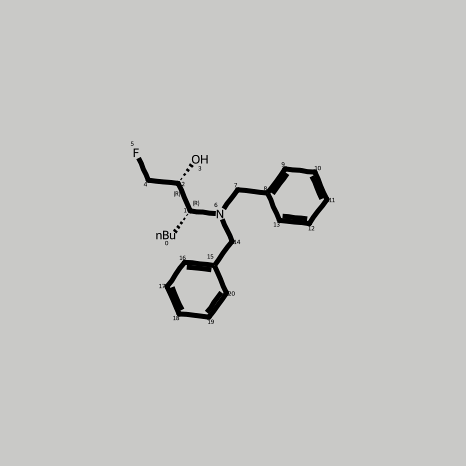 CCCC[C@H]([C@@H](O)CF)N(Cc1ccccc1)Cc1ccccc1